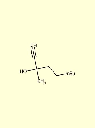 C#CC(C)(O)CCCCCC